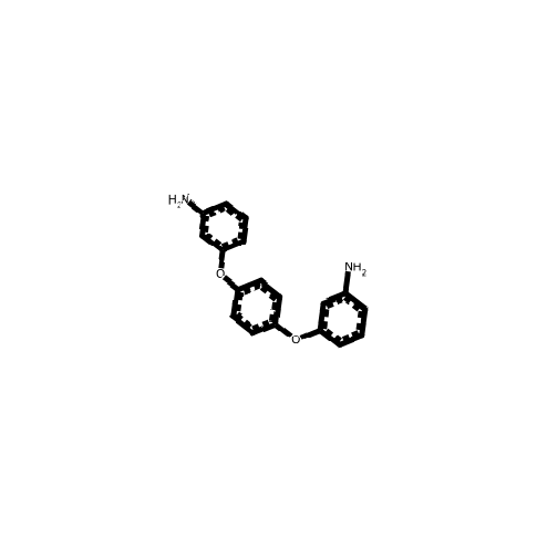 Nc1cccc(Oc2ccc(Oc3cccc(N)c3)cc2)c1